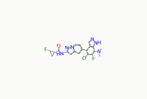 CN(C)c1c(F)c(Cl)c(-c2ccn3nc(NC(=O)C4CC4F)cc3c2)c2cn[nH]c12